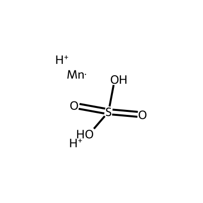 O=S(=O)(O)O.[H+].[H+].[Mn]